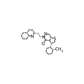 Cc1ccccc1-c1csc2cnn(CCc3ccc4ccccc4n3)c(=O)c12